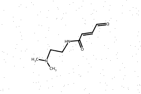 CN(C)CCNC(=O)/C=C/C=O